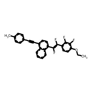 CCOc1ccc(/C(F)=C(\F)c2ccc(C#Cc3ccc(C)cc3)c3ccccc23)c(F)c1F